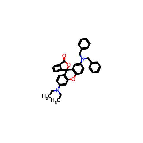 CCN(CC)c1ccc2c(c1)Oc1ccc(N(Cc3ccccc3)Cc3ccccc3)cc1C21OC(=O)c2ccccc21